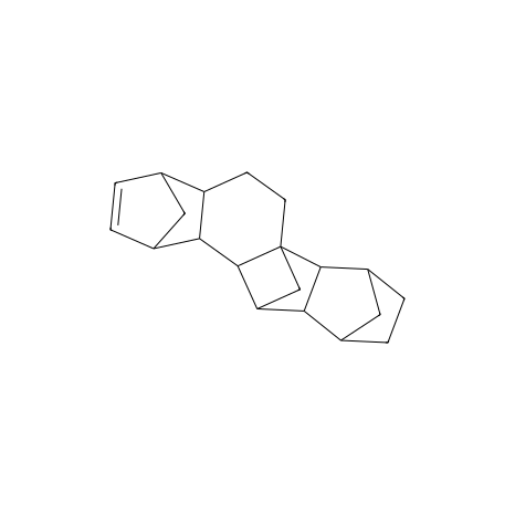 C1=CC2CC1C1CCC34CC(C5C6CCC(C6)C53)C4C21